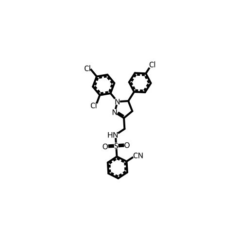 N#Cc1ccccc1S(=O)(=O)NCC1=NN(c2ccc(Cl)cc2Cl)C(c2ccc(Cl)cc2)C1